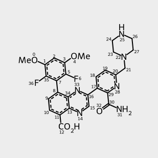 COc1cc(OC)c(F)c(-c2ccc(C(=O)O)c3ncc(-c4ccc(CN5CCNCC5)nc4C(N)=O)nc23)c1F